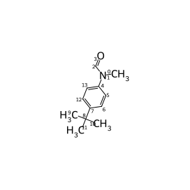 CN(C=O)c1ccc(C(C)(C)C)cc1